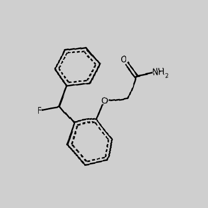 NC(=O)COc1ccccc1C(F)c1ccccc1